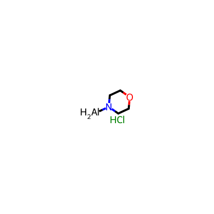 Cl.[AlH2][N]1CCOCC1